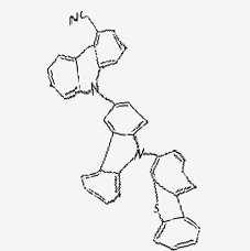 N#Cc1cccc2c1c1ccccc1n2-c1ccc2c(c1)c1ccccc1n2-c1cccc2c1sc1ccccc12